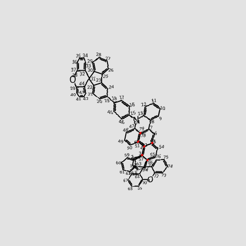 c1ccc(-c2ccc(-c3ccccc3N(c3ccc(-c4ccc5c(c4)-c4ccccc4C54c5ccccc5Oc5ccccc54)cc3)c3cccc(-c4cccc5c4-c4ccccc4C54c5ccccc5Oc5ccccc54)c3)cc2)cc1